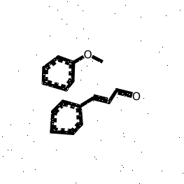 COc1ccccc1.O=CC=Cc1ccccc1